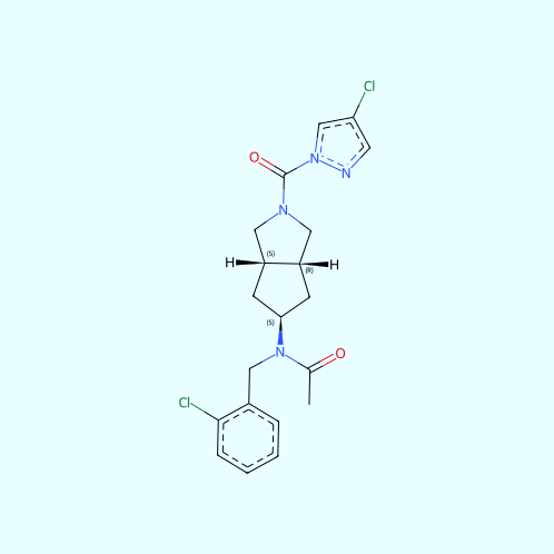 CC(=O)N(Cc1ccccc1Cl)[C@H]1C[C@@H]2CN(C(=O)n3cc(Cl)cn3)C[C@@H]2C1